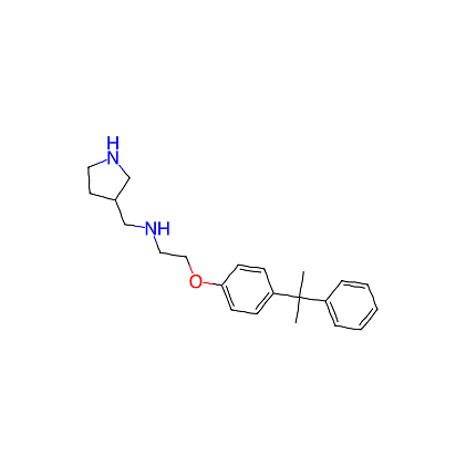 CC(C)(c1ccccc1)c1ccc(OCCNCC2CCNC2)cc1